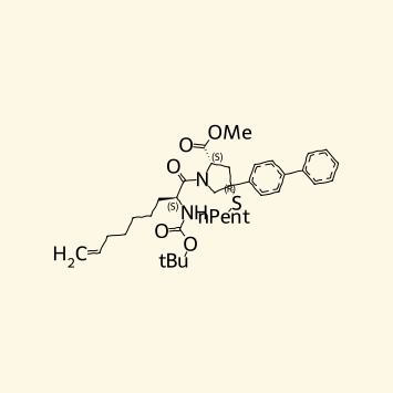 C=CCCCCC[C@H](NC(=O)OC(C)(C)C)C(=O)N1C[C@](SCCCCC)(c2ccc(-c3ccccc3)cc2)C[C@H]1C(=O)OC